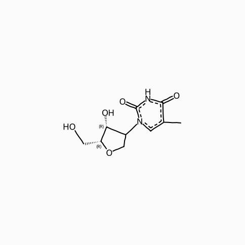 Cc1cn(C2CO[C@H](CO)[C@@H]2O)c(=O)[nH]c1=O